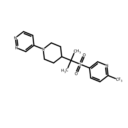 CC(C)(C1CCN(c2ccnnc2)CC1)S(=O)(=O)c1ccc(C(F)(F)F)nc1